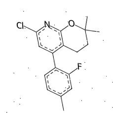 Cc1ccc(-c2cc(Cl)nc3c2CCC(C)(C)O3)c(F)c1